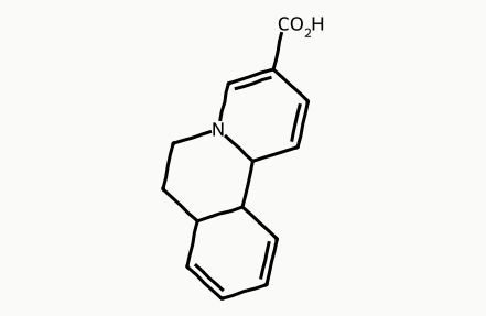 O=C(O)C1=CN2CCC3C=CC=CC3C2C=C1